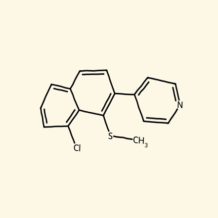 CSc1c(-c2ccncc2)ccc2cccc(Cl)c12